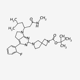 CNC(=O)CC(CC(C)C)N1CCc2c(-c3ccccc3F)nc(N3CCC4(CN(C(=O)OC(C)(C)C)C4)C3)nc21